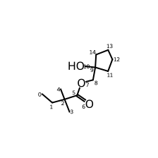 CCC(C)(C)C(=O)OCC1(O)CCCC1